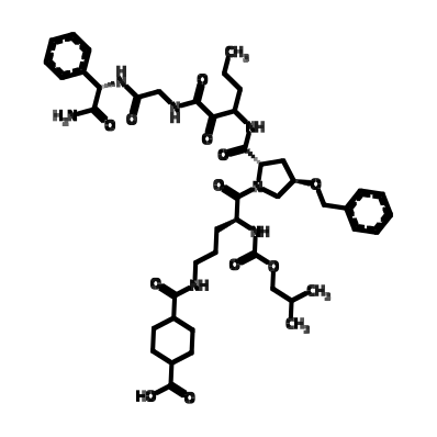 CCCC(NC(=O)[C@@H]1C[C@@H](OCc2ccccc2)CN1C(=O)[C@H](CCCNC(=O)C1CCC(C(=O)O)CC1)NC(=O)OCC(C)C)C(=O)C(=O)NCC(=O)N[C@H](C(N)=O)c1ccccc1